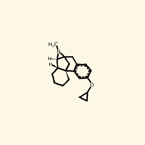 CN1[C@@H]2[C@H]3CCCC[C@]34CC21Cc1ccc(OC2CC2)cc14